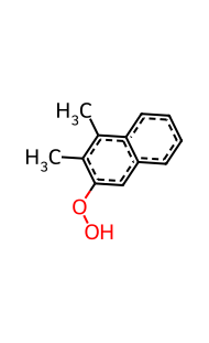 Cc1c(OO)cc2ccccc2c1C